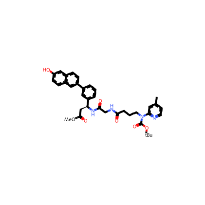 COC(=O)C[C@H](NC(=O)CNC(=O)CCCN(C(=O)OC(C)(C)C)c1cc(C)ccn1)c1cccc(-c2ccc3cc(O)ccc3c2)c1